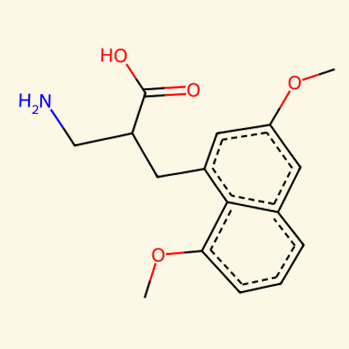 COc1cc(CC(CN)C(=O)O)c2c(OC)cccc2c1